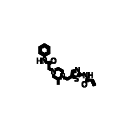 C=CC(=O)Nc1ncc(CN2CCN(CC(=O)Nc3ccccc3)CC2C)s1